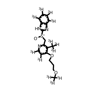 [2H]c1nc(C[S+]([O-])c2nc3c([2H])c([2H])c([2H])c([2H])c3[nH]2)c(C([2H])([2H])[2H])c(OCCCOC([2H])([2H])[2H])c1[2H]